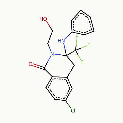 O=C1c2ccc(Cl)cc2CC(Nc2ccccc2)(C(F)(F)F)N1CCO